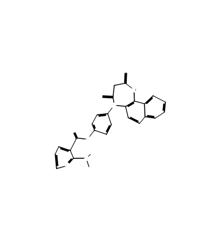 CN(C)c1ncccc1C(=O)Nc1ccc(N2C(=O)CC(=O)Nc3c2ccc2ccccc32)cc1.Cl